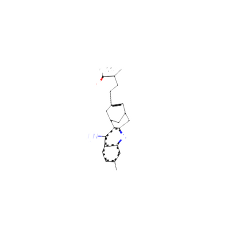 COC(=O)C(C)CCC1=CC2Cc3nc4cc(C)ccc4c(N)c3C(C1)C2